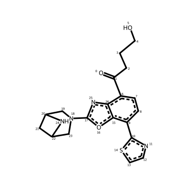 O=C(CCCO)c1ccc(-c2nccs2)c2oc(N3CC4CC(C3)N4)nc12